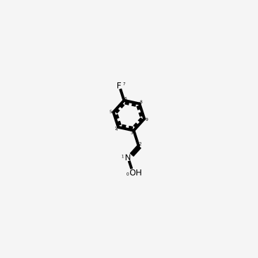 ON=Cc1[c]cc(F)cc1